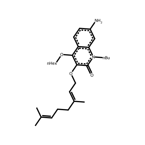 CCCCCCOc1c(OC/C=C(\C)CCC=C(C)C)c(=O)n(CCCC)c2cc(N)ccc12